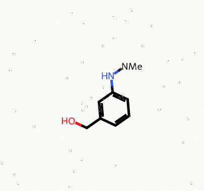 CNNc1cccc(CO)c1